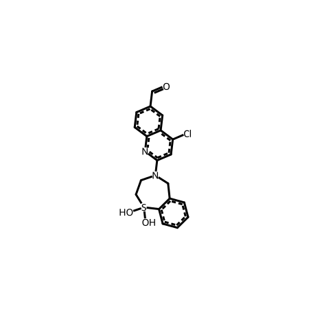 O=Cc1ccc2nc(N3CCS(O)(O)c4ccccc4C3)cc(Cl)c2c1